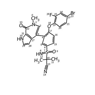 Cn1cc(-c2cc(S(=N)(=O)C(C)(C)C#N)ccc2Oc2ccc(Br)cc2F)c2cc[nH]c2c1=O